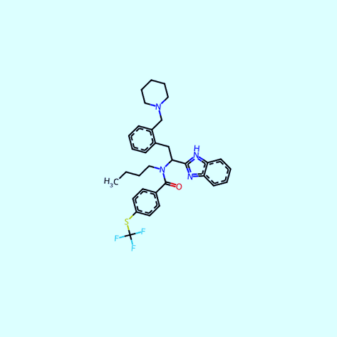 CCCCN(C(=O)c1ccc(SC(F)(F)F)cc1)C(Cc1ccccc1CN1CCCCC1)c1nc2ccccc2[nH]1